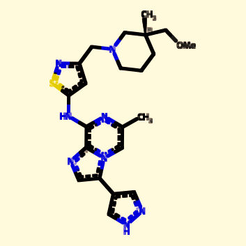 COC[C@]1(C)CCCN(Cc2cc(Nc3nc(C)cn4c(-c5cn[nH]c5)cnc34)sn2)C1